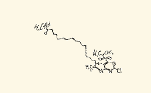 CNC(=O)CCCCCCCCCCCCCCCn1c(C)nc2nc(Cl)nc(S(=O)(=O)C(C)C)c21